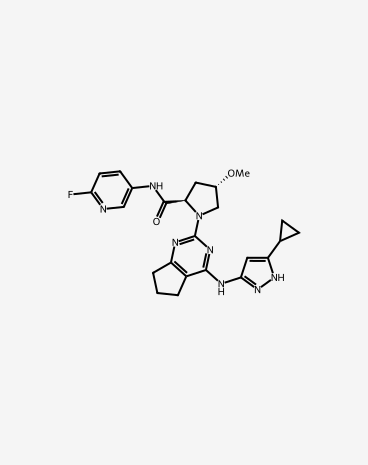 CO[C@H]1C[C@H](C(=O)Nc2ccc(F)nc2)N(c2nc3c(c(Nc4cc(C5CC5)[nH]n4)n2)CCC3)C1